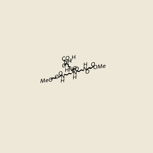 COCCOCC(=O)NCCCC[C@H](NC(=O)CCCNC(=O)/C=C/C(=O)OC)C(=O)NCCCC(=O)NCC(=O)O